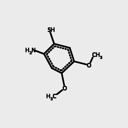 COc1cc(N)c(S)cc1OC